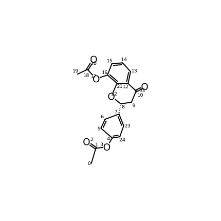 CC(=O)Oc1ccc([C@H]2CC(=O)c3cccc(OC(C)=O)c3O2)cc1